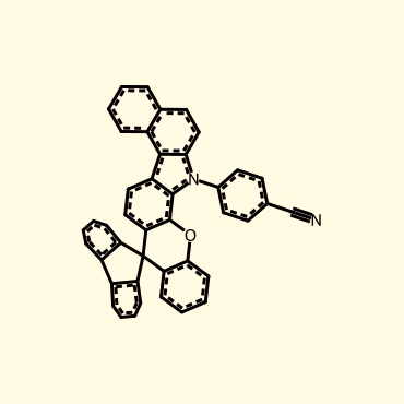 N#Cc1ccc(-n2c3ccc4ccccc4c3c3ccc4c(c32)Oc2ccccc2C42c3ccccc3-c3ccccc32)cc1